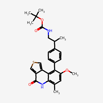 COc1cc(C)c2[nH]c(=O)c3cscc3c2c1-c1ccc(C(C)CNC(=O)OC(C)(C)C)cc1